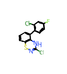 Fc1ccc(-c2cccc3c2NC(Cl)=NS3)c(Cl)c1